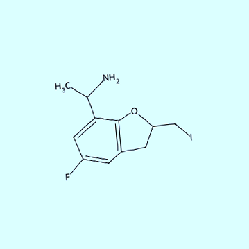 CC(N)c1cc(F)cc2c1OC(CI)C2